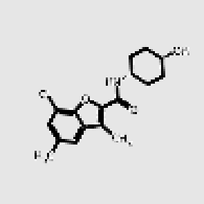 Cc1cc(Cl)c2oc(C(=O)N[C@H]3CC[C@H](O)CC3)c(C)c2c1